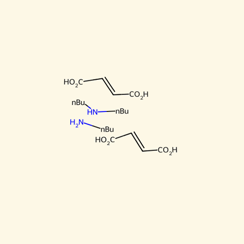 CCCCN.CCCCNCCCC.O=C(O)C=CC(=O)O.O=C(O)C=CC(=O)O